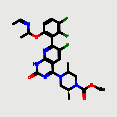 C/C=N\C(C)Oc1ccc(F)c(F)c1-c1nc2[nH]c(=O)nc(N3C[C@@H](C)N(C(=O)OC(C)(C)C)C[C@@H]3C)c2cc1F